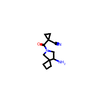 N#CC1(C(=O)N2CC(N)C3(CCC3)C2)CC1